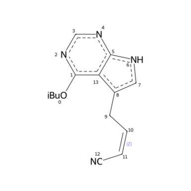 CC(C)COc1ncnc2[nH]cc(C/C=C\C#N)c12